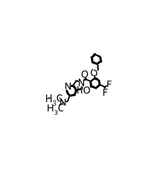 CN(C)Cc1cnc2c(c1)CN(C(=O)c1c(O)cc(C(F)F)cc1OCc1ccccc1)C2